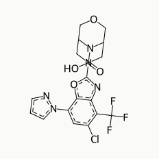 O=C(O)N1C2COCC1CN(c1nc3c(C(F)(F)F)c(Cl)cc(-n4cccn4)c3o1)C2